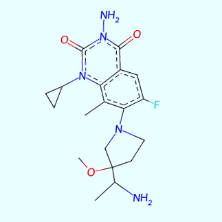 COC1(C(C)N)CCN(c2c(F)cc3c(=O)n(N)c(=O)n(C4CC4)c3c2C)C1